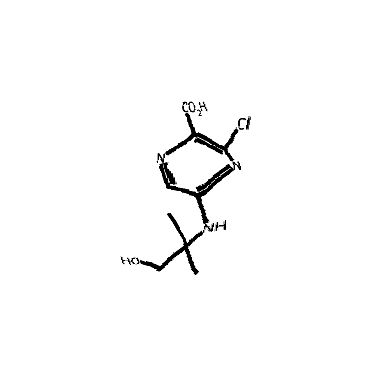 CC(C)(CO)Nc1cnc(C(=O)O)c(Cl)n1